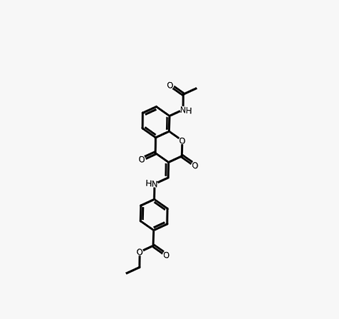 CCOC(=O)c1ccc(NC=C2C(=O)Oc3c(NC(C)=O)cccc3C2=O)cc1